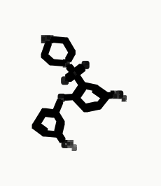 Cc1cccc(Oc2ccc([N+](=O)[O-])cc2S(=O)(=O)N2CCNCC2)c1